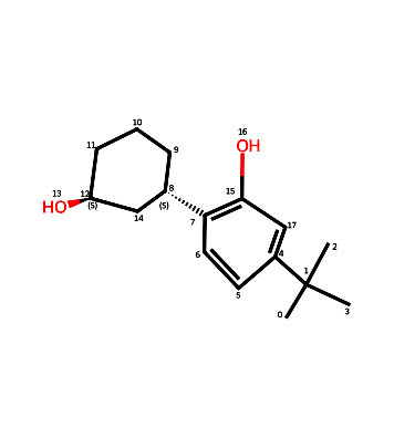 CC(C)(C)c1ccc([C@H]2CCC[C@H](O)C2)c(O)c1